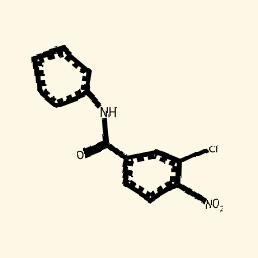 O=C(Nc1ccccc1)c1ccc([N+](=O)[O-])c(Cl)c1